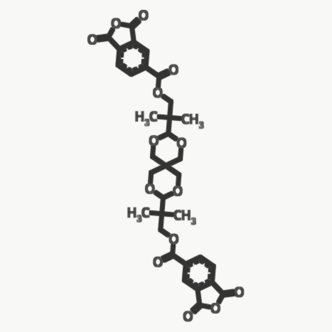 CC(C)(COC(=O)c1ccc2c(c1)C(=O)OC2=O)C1OCC2(CO1)COC(C(C)(C)COC(=O)c1ccc3c(c1)C(=O)OC3=O)OC2